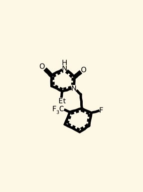 CCc1cc(=O)[nH]c(=O)n1Cc1c(F)cccc1C(F)(F)F